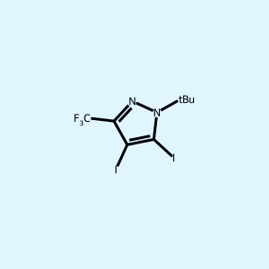 CC(C)(C)n1nc(C(F)(F)F)c(I)c1I